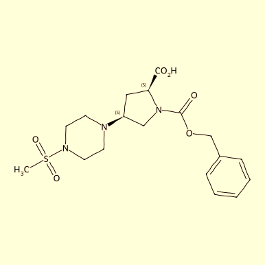 CS(=O)(=O)N1CCN([C@H]2C[C@@H](C(=O)O)N(C(=O)OCc3ccccc3)C2)CC1